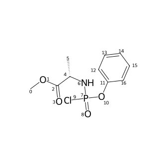 COC(=O)[C@H](C)NP(=O)(Cl)Oc1ccccc1